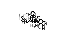 Cc1cc2cn[nH]c2c(C(N)=O)c1NC(=O)c1cc(Cn2nnc(C(F)(F)F)n2)nn1-c1ncccc1Cl